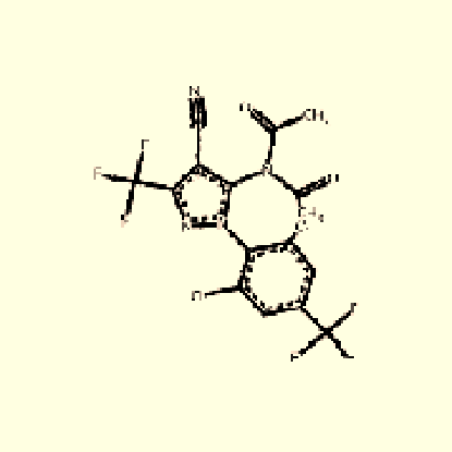 CC(=O)N(C(C)=O)c1c(C#N)c(C(F)(F)F)nn1-c1c(Cl)cc(C(F)(F)F)cc1Cl